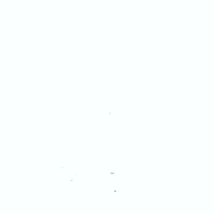 CC(CCCCCCNCC1CCC(O)CC1)(C(=O)O)C(=O)O